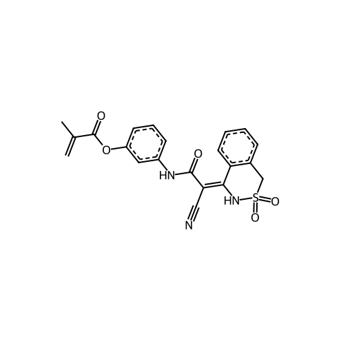 C=C(C)C(=O)Oc1cccc(NC(=O)C(C#N)=C2NS(=O)(=O)Cc3ccccc32)c1